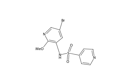 COc1ncc(Br)cc1NS(=O)(=O)c1ccncc1